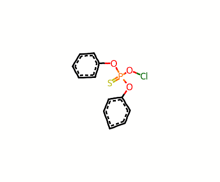 S=P(OCl)(Oc1ccccc1)Oc1ccccc1